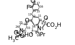 CC(C)[C@@H](CO)n1cc(C(=O)O)c(=O)c2cc(Cc3cccc(Cl)c3F)c(OC3CCN(S(C)(=O)=O)CC3)cc21